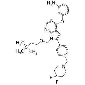 C[Si](C)(C)CCOCn1c(-c2ccc(CN3CCC(F)(F)CC3)cc2)cc2c(Oc3cccc(N)c3)ncnc21